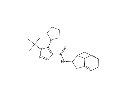 CC(C)(C)n1ncc(C(=O)NC2CC3=CCC4CC3C2C4)c1N1CCCC1